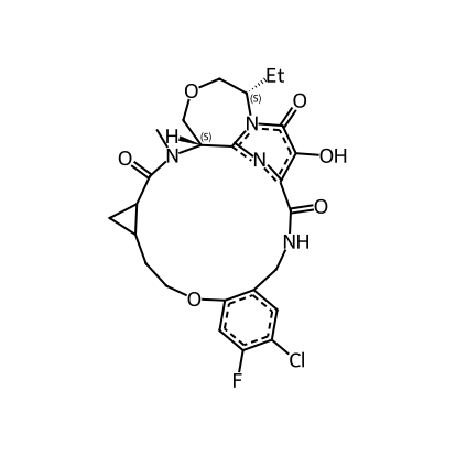 CC[C@H]1COC[C@@H]2c3nc(c(O)c(=O)n31)C(=O)NCc1cc(Cl)c(F)cc1OCCC1CC1C(=O)N2C